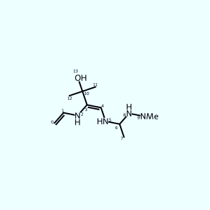 C=CN/C(=C\NC(C)NNC)C(C)(C)O